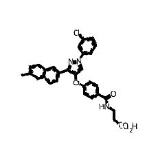 Cc1ccc2cc(-c3nn(-c4cccc(Cl)c4)cc3Oc3ccc(C(=O)NCCC(=O)O)cc3)ccc2c1